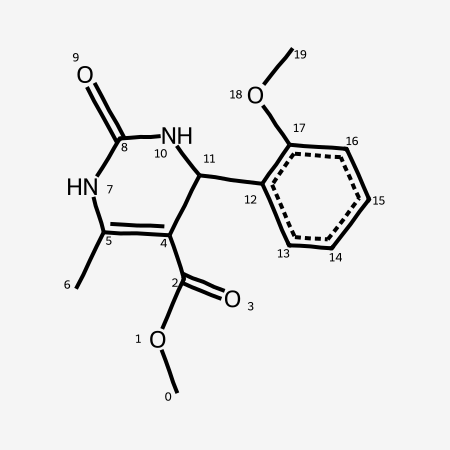 COC(=O)C1=C(C)NC(=O)NC1c1ccccc1OC